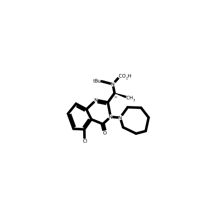 C[C@@H](c1nc2cccc(Cl)c2c(=O)n1N1CCCCCC1)N(C(=O)O)C(C)(C)C